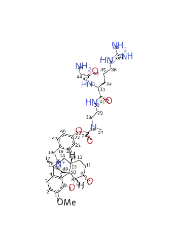 COc1ccc2c3c1O[C@H]1C(=O)CC[C@H]4C(C2)[N@@+](C)(Cc2ccc(OC(=O)N(C)CCNC(=O)[C@H](CCCNC(=N)N)NC(=O)CN)cc2)CC[C@]314